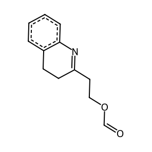 O=COCCC1=Nc2ccccc2CC1